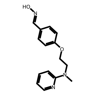 CN(CCOc1ccc(/C=N/O)cc1)c1ccccn1